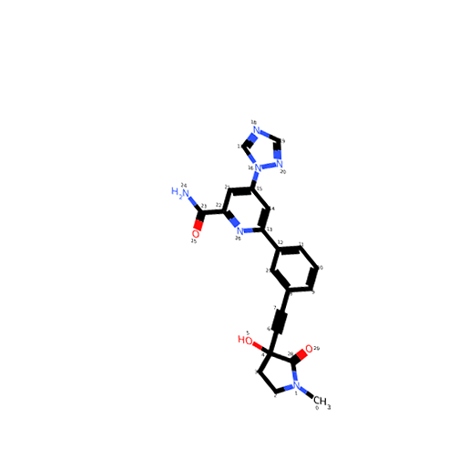 CN1CCC(O)(C#Cc2cccc(-c3cc(-n4cncn4)cc(C(N)=O)n3)c2)C1=O